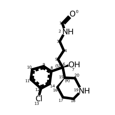 O=CNCCC[C@@](O)(c1cccc(Cl)c1)[C@@H]1CCCNC1